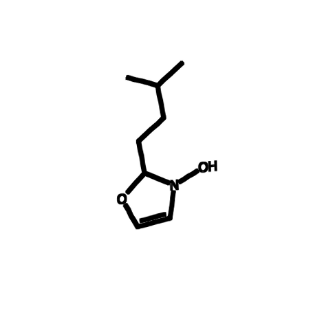 CC(C)CCC1OC=CN1O